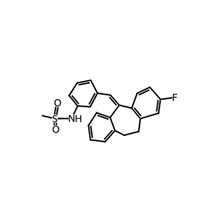 CS(=O)(=O)Nc1cccc(/C=C2\c3ccccc3CCc3cc(F)ccc32)c1